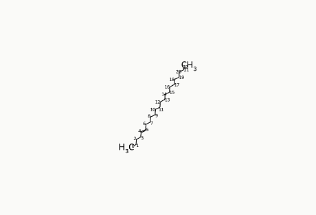 CCCC/C=C/CCCCCCCCCCCCCCCCC